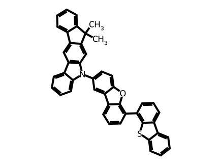 CC1(C)c2ccccc2-c2cc3c4ccccc4n(-c4ccc5oc6c(-c7cccc8c7sc7ccccc78)cccc6c5c4)c3cc21